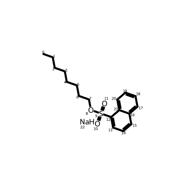 CCCCCCCCOS(=O)(=O)c1cccc2ccccc12.[NaH]